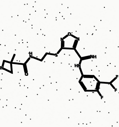 CC1(C(=O)NCCSc2nonc2C(=N)Nc2ccc(F)c(C(F)F)c2)CNC1